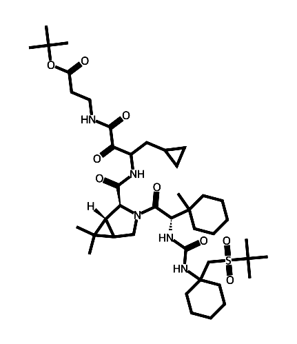 CC(C)(C)OC(=O)CCNC(=O)C(=O)C(CC1CC1)NC(=O)[C@@H]1[C@@H]2C(CN1C(=O)[C@@H](NC(=O)NC1(CS(=O)(=O)C(C)(C)C)CCCCC1)C1(C)CCCCC1)C2(C)C